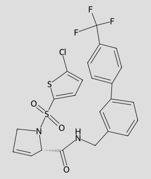 O=C(NCc1cccc(-c2ccc(C(F)(F)F)cc2)c1)[C@@H]1C=CCN1S(=O)(=O)c1ccc(Cl)s1